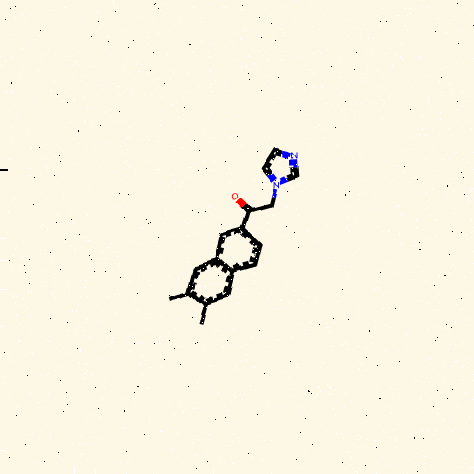 Cc1cc2ccc(C(=O)Cn3ccnc3)cc2cc1C